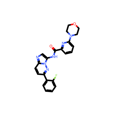 O=C(Nc1cnc2ccc(-c3ccccc3F)nn12)c1cccc(N2CCOCC2)n1